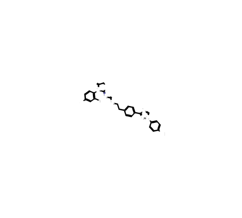 Cc1ccc(N2C(=O)CS/C2=N\C(=O)NCCc2ccc(-c3ncn(-c4ccc(C(F)(F)F)cc4)n3)cc2)c(C(C)C)c1